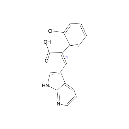 O=C(O)/C(=C\c1c[nH]c2ncccc12)c1ccccc1Cl